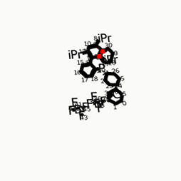 C1CC2CCC1CC2.CC(C)c1cc(C(C)C)c(-c2ccccc2P(C2CCCCC2)C2CCCCC2)c(C(C)C)c1.F[B-](F)(F)F.F[B-](F)(F)F